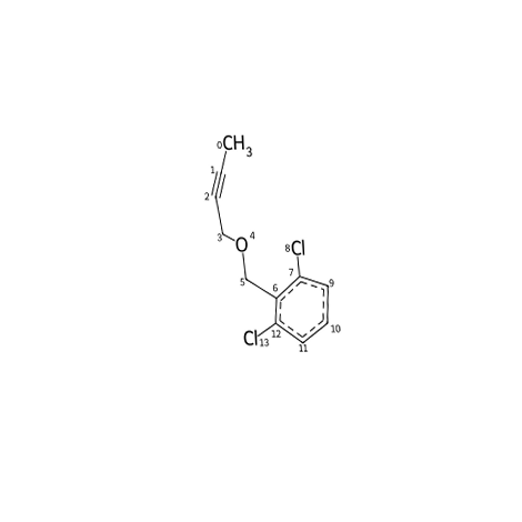 CC#CCOCc1c(Cl)cccc1Cl